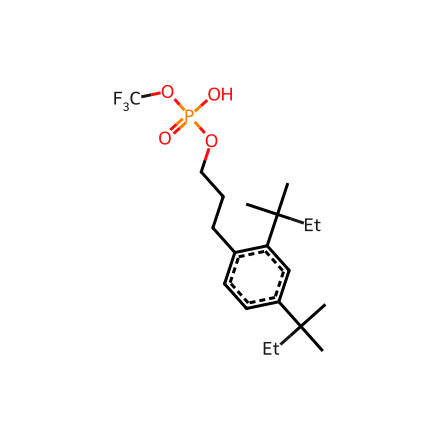 CCC(C)(C)c1ccc(CCCOP(=O)(O)OC(F)(F)F)c(C(C)(C)CC)c1